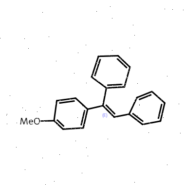 COc1ccc(/C(=C/c2ccccc2)c2ccccc2)cc1